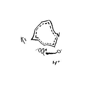 O=C([O-])[O-].[H+].[K+].c1ccncc1